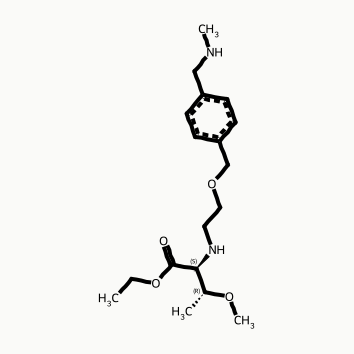 CCOC(=O)[C@@H](NCCOCc1ccc(CNC)cc1)[C@@H](C)OC